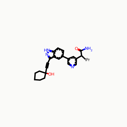 CC(C)C(C(N)=O)c1cncc(-c2ccc3[nH]nc(C#CC4(O)CCCCC4)c3c2)c1